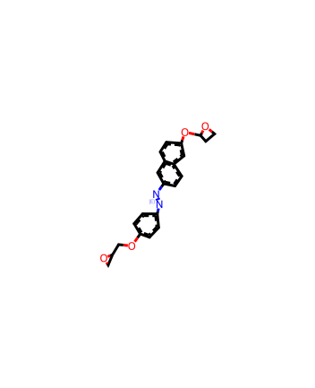 c1cc(OCC2CO2)ccc1/N=N/c1ccc2cc(OC3CCO3)ccc2c1